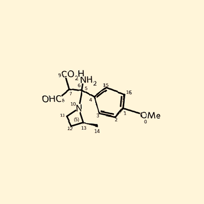 COc1ccc(C(N)(C(C=O)C(=O)O)N2CC[C@@H]2C)cc1